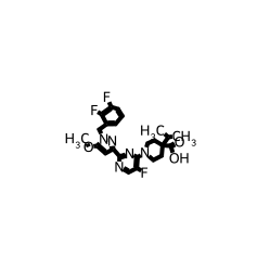 COc1cc(-c2ncc(F)c(N3CCC(C(=O)O)(C(C)C)CC3)n2)nn1Cc1cccc(F)c1F